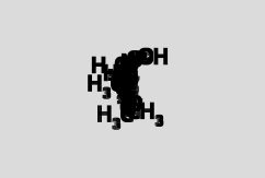 COc1c(Nc2ccc(OCCO)nc2C)ncc(F)c1OC1CCN(C(=O)OC(C)C)CC1